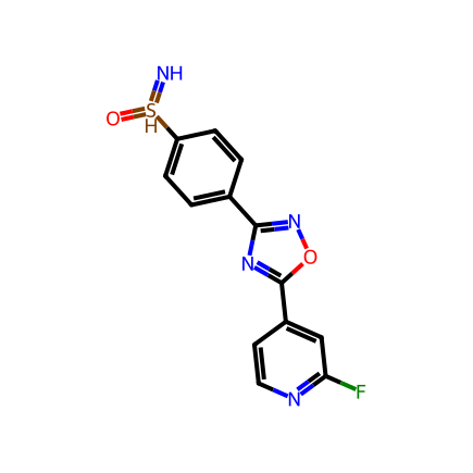 N=[SH](=O)c1ccc(-c2noc(-c3ccnc(F)c3)n2)cc1